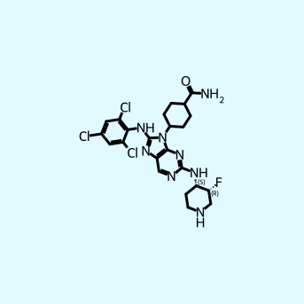 NC(=O)C1CCC(n2c(Nc3c(Cl)cc(Cl)cc3Cl)nc3cnc(N[C@H]4CCNC[C@H]4F)nc32)CC1